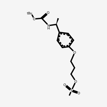 C[C@H](NC(=O)OC(C)(C)C)c1ccc(OCCCOS(C)(=O)=O)cc1